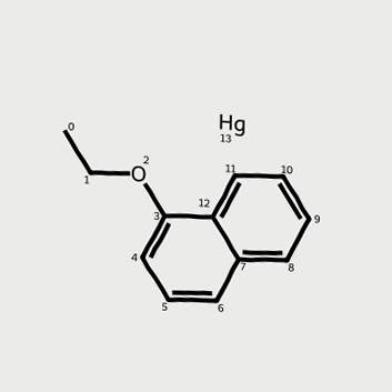 CCOc1cccc2ccccc12.[Hg]